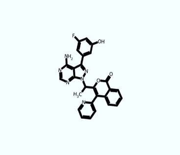 CC(c1oc(=O)c2ccccc2c1-c1ccccn1)n1nc(-c2cc(O)cc(F)c2)c2c(N)ncnc21